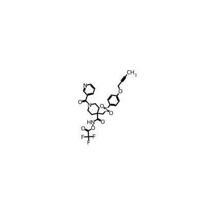 CC#CCOc1ccc(S(=O)(=O)CC2(C(=O)NOC(=O)C(F)(F)F)CCN(C(=O)c3cccnc3)CC2)cc1